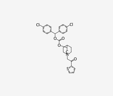 O=C(OC(c1ccc(Cl)cc1)c1ccc(Cl)cc1)OC1C[N+]2(CC(=O)c3cccs3)CCC1CC2